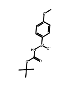 COc1ccc([S+]([O-])NC(=O)OC(C)(C)C)cc1